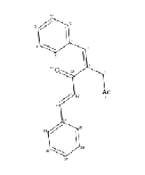 CC(=O)CC(=Cc1ccccc1)C(=O)C=Cc1ccccc1